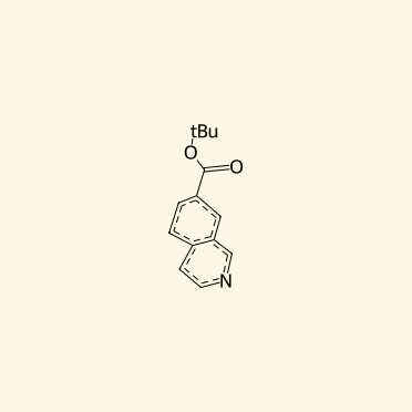 CC(C)(C)OC(=O)c1ccc2ccncc2c1